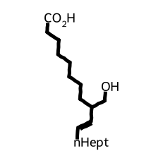 CCCCCCCC=CC(CO)CCCCCCCC(=O)O